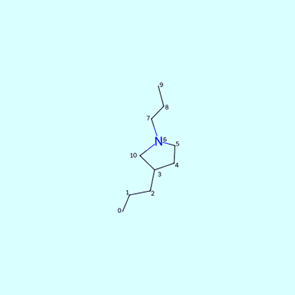 CCCC1CCN(CCC)C1